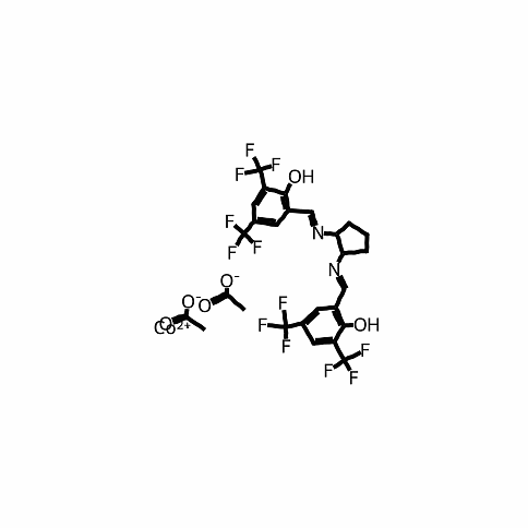 CC(=O)[O-].CC(=O)[O-].Oc1c(C=NC2CCCC2N=Cc2cc(C(F)(F)F)cc(C(F)(F)F)c2O)cc(C(F)(F)F)cc1C(F)(F)F.[Co+2]